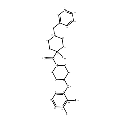 O=C(N1CCC(Oc2cccc(F)c2F)CC1)C1(F)CCN(Cc2ccnnc2)CC1